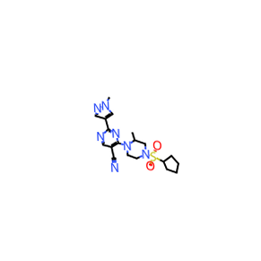 CC1CN(S(=O)(=O)C2CCCC2)CCN1c1nc(-c2cnn(C)c2)ncc1C#N